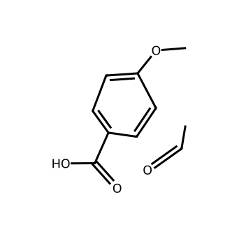 CC=O.COc1ccc(C(=O)O)cc1